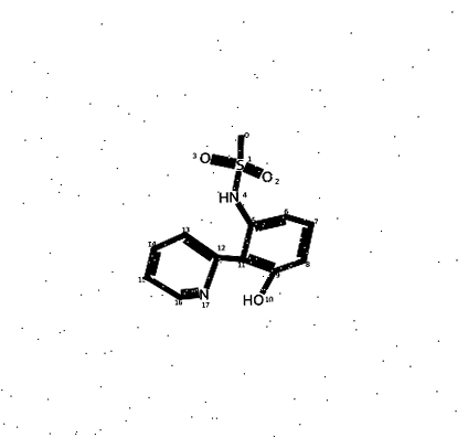 CS(=O)(=O)Nc1cccc(O)c1-c1ccccn1